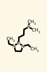 CC[N]1CC[N](CC)[In]1[CH2]CCN(C)C